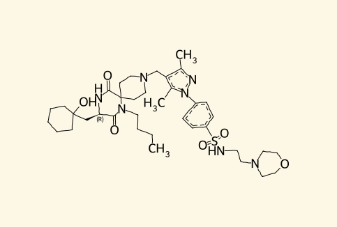 CCCCN1C(=O)[C@@H](CC2(O)CCCCC2)NC(=O)C12CCN(Cc1c(C)nn(-c3ccc(S(=O)(=O)NCCN4CCOCC4)cc3)c1C)CC2